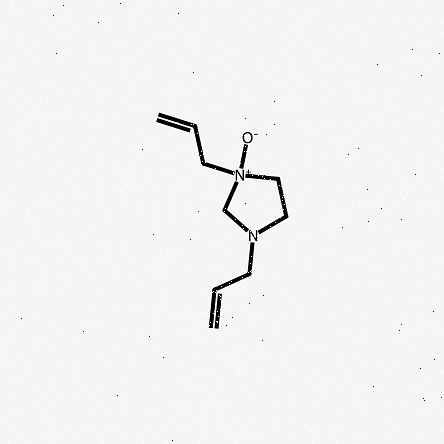 C=CCN1CC[N+]([O-])(CC=C)C1